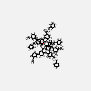 [C-]#[N+]c1cccc(-c2ccc(-c3nc(-c4cc(-c5cccc(C#N)c5)ccc4-n4c5ccc(C(=O)OCc6ccccc6)cc5c5cc(C(=O)OCc6ccccc6)ccc54)nc(-c4cc(-c5cccc([N+]#[C-])c5)ccc4-n4c5ccc(C(=O)OCc6ccccc6)cc5c5cc(C(=O)OCc6ccccc6)ccc54)n3)cc2)c1